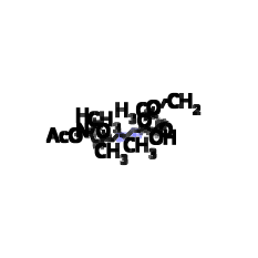 C=CCO[C@]1(C)C[C@@]2(CO2)[C@H](O)[C@@H](/C=C/C(C)=C/C[C@@H]2O[C@H](C)[C@H](NOC(C)=O)C[C@@H]2C)O1